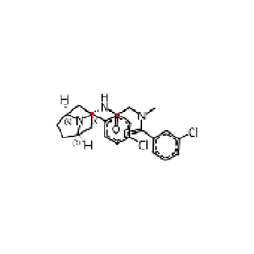 CN(CC(=O)N[C@@H]1C[C@H]2CC[C@@H](C1)N2Cc1ccc(Cl)cc1)C(=O)c1cccc(Cl)c1